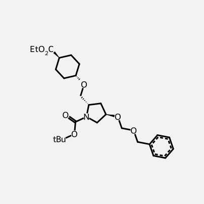 CCOC(=O)[C@H]1CC[C@H](OC[C@@H]2C[C@@H](OCOCc3ccccc3)CN2C(=O)OC(C)(C)C)CC1